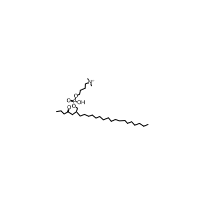 CCCCCCCCCCCCCCCCCCC(COP(=O)(O)OCCCC[N+](C)(C)C)CC(=O)CCC